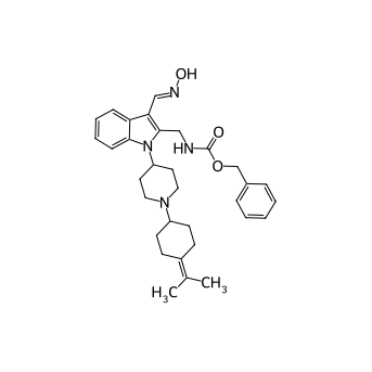 CC(C)=C1CCC(N2CCC(n3c(CNC(=O)OCc4ccccc4)c(C=NO)c4ccccc43)CC2)CC1